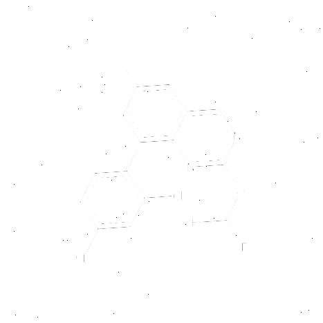 Cc1cc(-c2ccc(Cl)cc2Cl)c2nc(OC(F)F)ncc2c1